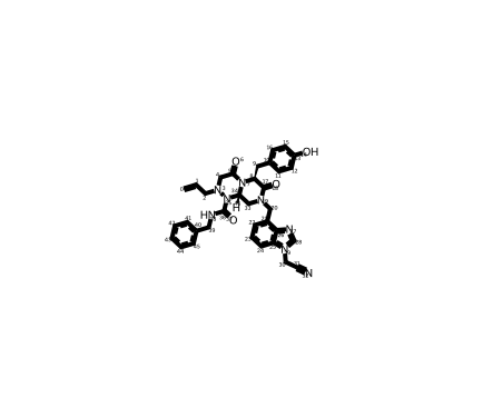 C=CCN1CC(=O)N2[C@@H](Cc3ccc(O)cc3)C(=O)N(Cc3cccc4c3ncn4CC#N)C[C@@H]2N1C(=O)NCc1ccccc1